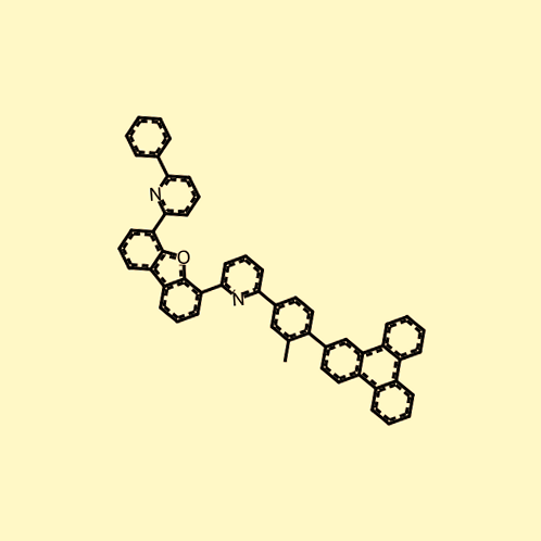 Cc1cc(-c2cccc(-c3cccc4c3oc3c(-c5cccc(-c6ccccc6)n5)cccc34)n2)ccc1-c1ccc2c3ccccc3c3ccccc3c2c1